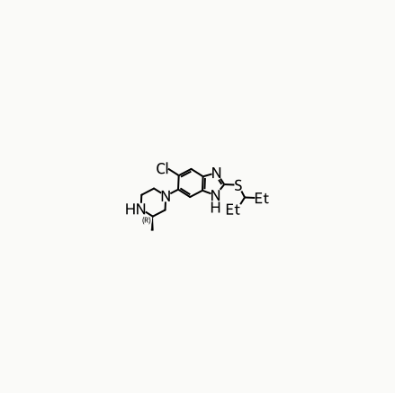 CCC(CC)Sc1nc2cc(Cl)c(N3CCN[C@H](C)C3)cc2[nH]1